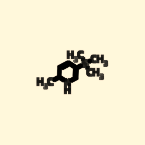 CC1C=CC([Si](C)(C)C)=CN1